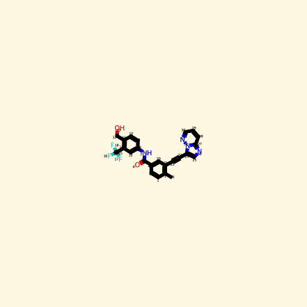 Cc1ccc(C(=O)Nc2ccc(CO)c(C(F)(F)F)c2)cc1C#Cc1cnc2cccnn12